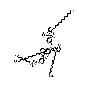 CCCCCCCCCCCCN1CCN(C)C1=NP(=O)(OCC)N1CCO[C@@H](COP(=O)(N=C2N(C)CCN2CCCCCCCCCCCC)N2CCO[C@@H](COP(=O)(/N=C3/N(C)CCN3CCCCCCCCCCCC)N3CCO[C@@H](COP(=O)(O)OCCCCCCO)C3)C2)C1